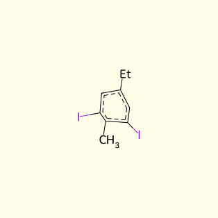 CCc1cc(I)c(C)c(I)c1